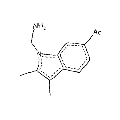 CC(=O)c1ccc2c(C)c(C)n(CN)c2c1